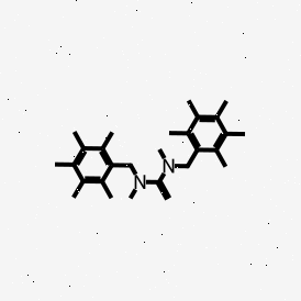 C=C(N(C)Cc1c(C)c(C)c(C)c(C)c1C)N(C)Cc1c(C)c(C)c(C)c(C)c1C